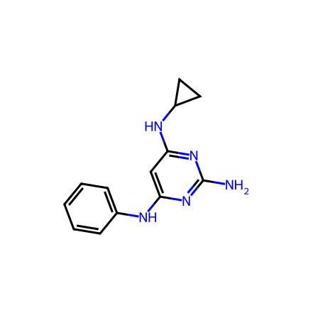 Nc1nc(Nc2ccccc2)cc(NC2CC2)n1